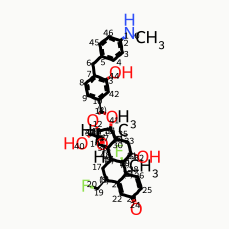 CNc1ccc(Cc2ccc([C@@H]3O[C@@H]4CC5[C@@H]6C[C@H](CF)C7=CC(=O)C=C[C@]7(C)[C@@]6(F)[C@@H](O)C[C@]5(C)[C@]4(C(=O)CO)O3)cc2O)cc1